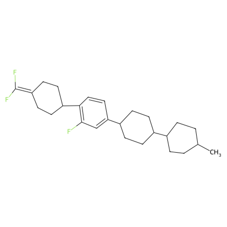 CC1CCC(C2CCC(c3ccc(C4CCC(=C(F)F)CC4)c(F)c3)CC2)CC1